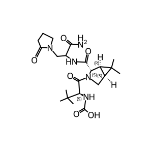 CC(C)(C)[C@H](NC(=O)O)C(=O)N1C[C@H]2[C@@H]([C@H]1C(=O)NC(CN1CCCC1=O)C(N)=O)C2(C)C